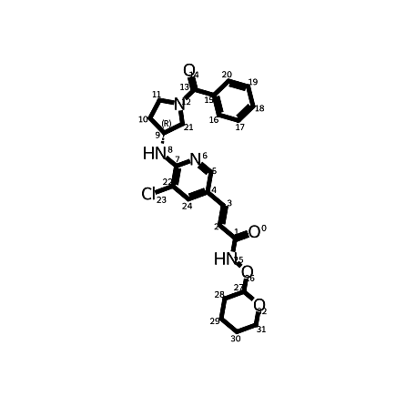 O=C(C=Cc1cnc(N[C@@H]2CCN(C(=O)c3ccccc3)C2)c(Cl)c1)NOC1CCCCO1